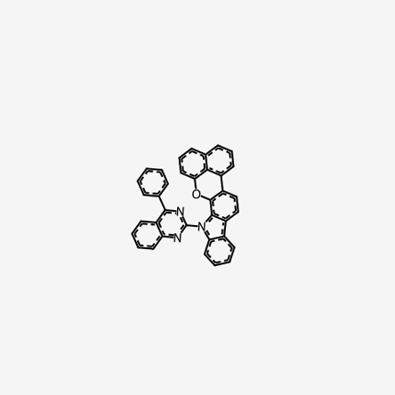 c1ccc(-c2nc(-n3c4ccccc4c4ccc5c(c43)Oc3cccc4cccc-5c34)nc3ccccc23)cc1